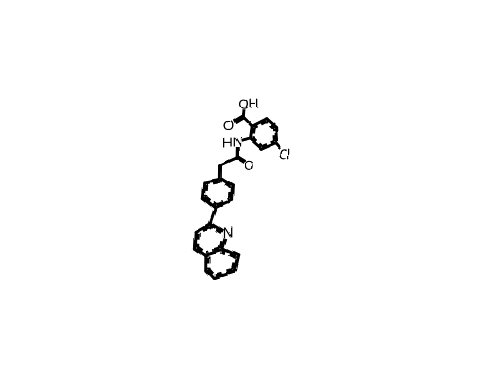 O=C(Cc1ccc(-c2ccc3ccccc3n2)cc1)Nc1cc(Cl)ccc1C(=O)O